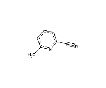 Cc1[c]ccc(C#N)n1